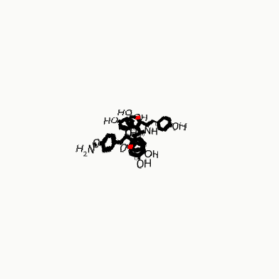 NOc1ccc(C2Oc3cc(O)cc([C@]45NC(C[C@@H]6CC=C(O)CC6)C6=C[C@@H](O)CC(OC4C4=CC[C@H](O)C=C4)[C@H]65)c3[C@H]2c2cc(O)cc(O)c2)cc1